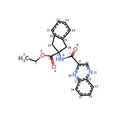 CCOC(=O)C1(NC(=O)c2cnc3ccccc3n2)Cc2ccccc2C1